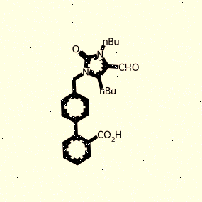 CCCCc1c(C=O)n(CCCC)c(=O)n1Cc1ccc(-c2ccccc2C(=O)O)cc1